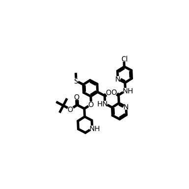 CSc1ccc(C(=O)Nc2cccnc2C(=O)Nc2ccc(Cl)cn2)c(OC(C(=O)OC(C)(C)C)C2CCCNC2)c1